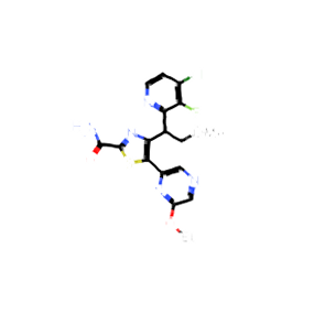 CCOc1cncc(-c2sc(C(N)=O)nc2C(COC)c2nccc(Cl)c2F)n1